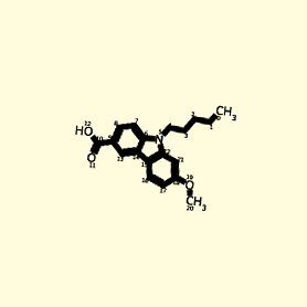 CCCCCn1c2ccc(C(=O)O)cc2c2ccc(OC)cc21